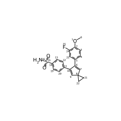 COc1ccc(C2=CC3(C=C2c2ccc(S(N)(=O)=O)cc2)CC3)cc1F